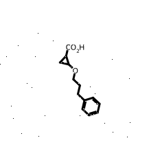 O=C(O)C1CC1OCCCc1ccccc1